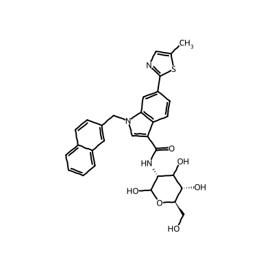 Cc1cnc(-c2ccc3c(C(=O)N[C@H]4C(O)O[C@H](CO)[C@@H](O)C4O)cn(Cc4ccc5ccccc5c4)c3c2)s1